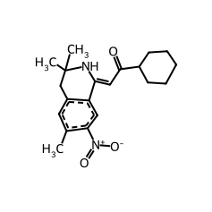 Cc1cc2c(cc1[N+](=O)[O-])C(=CC(=O)C1CCCCC1)NC(C)(C)C2